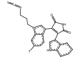 O=C1NC(=O)C(c2cn(CCCN=C=S)c3cc(F)ccc23)=C1c1c[nH]c2ccccc12